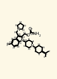 CC(C)=C1CCC(N2CCC(n3c(COC(N)=O)c(CN4CCCC4)c4cc(F)ccc43)CC2)CC1